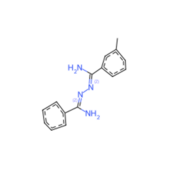 Cc1cccc(/C(N)=N/N=C(\N)c2ccccc2)c1